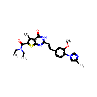 CCN(CC)C(=O)c1sc2nc(C=Cc3ccc(-n4cnc(C)c4)c(OC)c3)[nH]c(=O)c2c1C